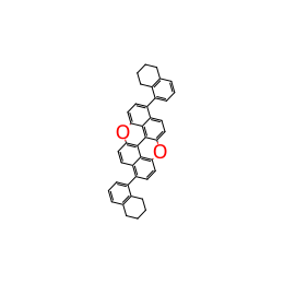 c1cc2c(c(-c3ccc4oc5ccc6c(-c7cccc8c7CCCC8)ccc7oc8ccc3c4c8-c5c76)c1)CCCC2